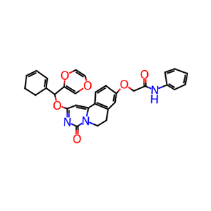 O=C(COc1ccc2c(c1)CCn1c-2cc(OC(C2=CC=CCC2)C2=COC=CO2)nc1=O)Nc1ccccc1